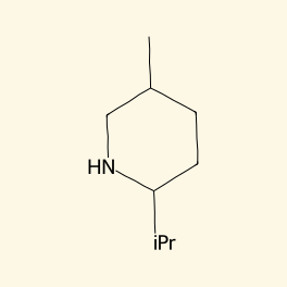 CC1CCC(C(C)C)NC1